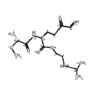 CO[C@H](C)C(=O)N[C@@H](CCC(=O)C=N)C(=O)OCCNC(C)C